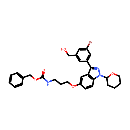 O=C(NCCCOc1ccc2c(c1)c(-c1cc(Br)cc(CO)c1)nn2C1CCCCO1)OCc1ccccc1